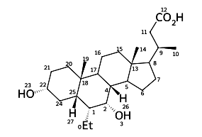 CC[C@H]1[C@@H](O)[C@H]2C3CCC([C@H](C)CC(=O)O)[C@@]3(C)CCC2[C@@]2(C)CC[C@@H](O)C[C@@H]12